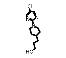 OCCCC1CCN(c2ncc(Cl)cn2)CC1